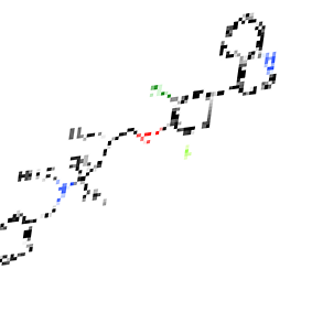 C[C@H](COc1c(F)cc(-c2ccnc3ccccc23)cc1Cl)CC(C)(C)N(Cc1ccccc1)C(=O)O